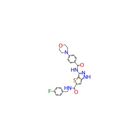 O=C(Nc1n[nH]c2cc(C(=O)NCc3ccc(F)cc3)sc12)c1ccc(N2CCOCC2)cc1